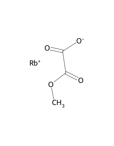 COC(=O)C(=O)[O-].[Rb+]